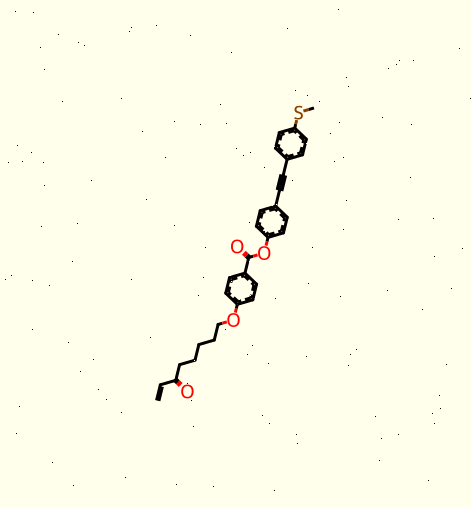 C=CC(=O)CCCCCOc1ccc(C(=O)Oc2ccc(C#Cc3ccc(SC)cc3)cc2)cc1